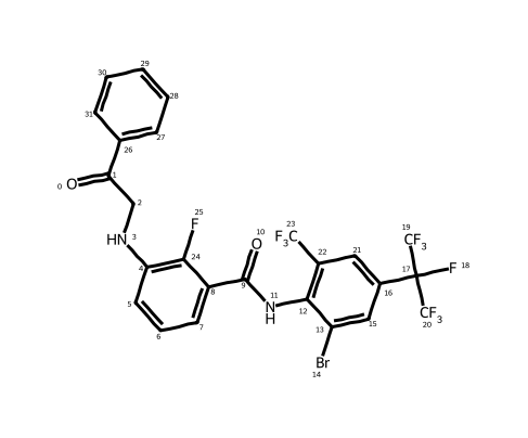 O=C(CNc1cccc(C(=O)Nc2c(Br)cc(C(F)(C(F)(F)F)C(F)(F)F)cc2C(F)(F)F)c1F)c1ccccc1